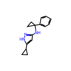 c1ccc(C2(Nc3cc(C4CC4)[nH]n3)CC2)cc1